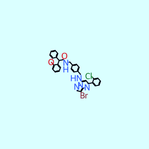 O=C(NCc1ccc(CNc2cc(-c3ccccc3Cl)nc3c(Br)cnn23)cc1)C1c2ccccc2Oc2ccccc21